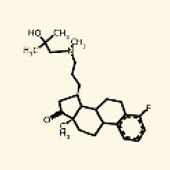 CN(CCC[C@@H]1CC(=O)[C@@]2(C)CCC3c4cccc(F)c4CCC3C12)CC(C)(C)O